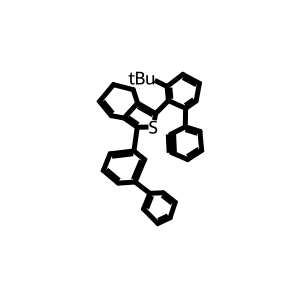 CC(C)(C)c1cccc(-c2c#cccc2)c1-c1sc(-c2cccc(-c3ccccc3)c2)c2c1CCC=C2